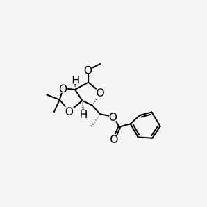 COC1O[C@H]([C@@H](C)OC(=O)c2ccccc2)[C@H]2OC(C)(C)O[C@@H]12